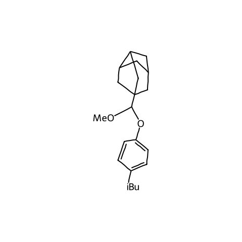 CCC(C)c1ccc(OC(OC)C23CC4CC(C2)C(C4)C3)cc1